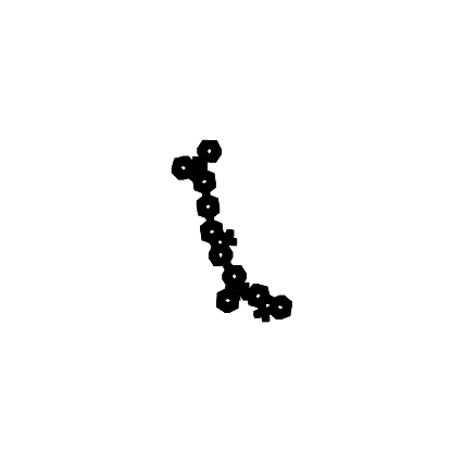 CC1(C)c2cc(-c3ccc(-c4ccc5c(c4)c4ccccc4n5-c4ccccc4)cc3)ccc2-c2ccc(-c3ccc4c(c3)c3ccccc3n4-c3ccc4c(c3)C(C)(C)c3ccccc3-4)cc21